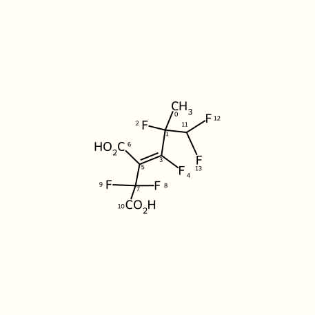 CC(F)(C(F)=C(C(=O)O)C(F)(F)C(=O)O)C(F)F